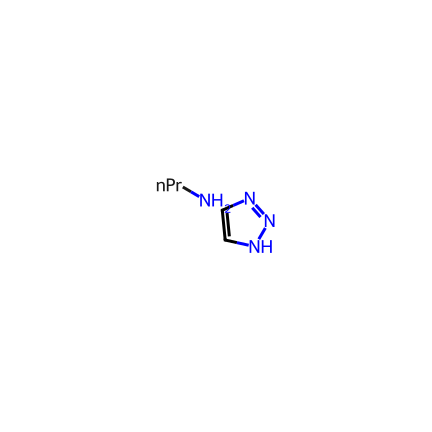 CCCN.c1c[nH]nn1